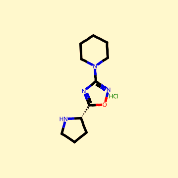 C1CCN(c2noc([C@@H]3CCCN3)n2)CC1.Cl